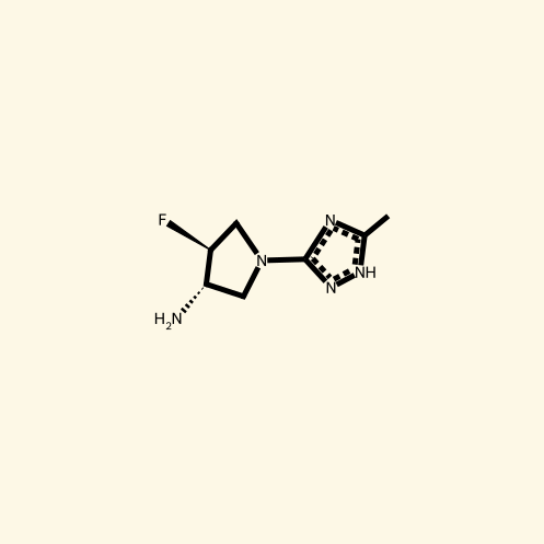 Cc1nc(N2C[C@H](N)[C@@H](F)C2)n[nH]1